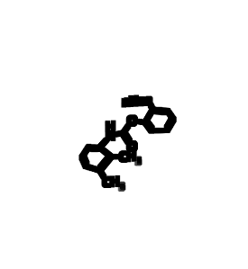 CCCCCCCCCc1ccccc1OC(=O)Nc1cccc(C)c1C